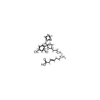 CCC/C=C/CC(=O)O.CCCC1COC(Cn2cncn2)(c2ccc(Cl)cc2Cl)O1